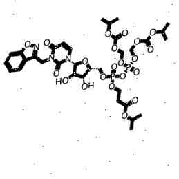 CC(C)OC(=O)CCOP(=O)(OC[C@H]1O[C@@H](n2ccc(=O)n(Cc3noc4ccccc34)c2=O)C(O)[C@H]1O)OP(=O)(OCOC(=O)OC(C)C)OCOC(=O)OC(C)C